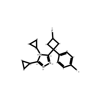 FC1CC(c2ccc(I)cc2)(c2nnc(C3CC3)n2C2CC2)C1